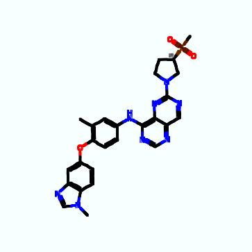 Cc1cc(Nc2ncnc3cnc(N4CC[C@@H](S(C)(=O)=O)C4)nc23)ccc1Oc1ccc2c(c1)ncn2C